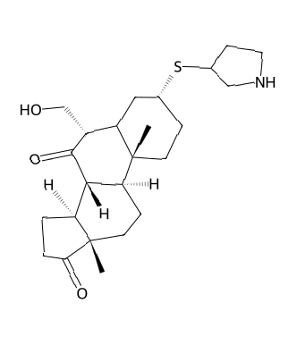 C[C@]12CC[C@@H](SC3CCNC3)CC1[C@@H](CO)C(=O)[C@@H]1[C@@H]2CC[C@]2(C)C(=O)CC[C@@H]12